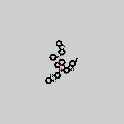 Fc1ccc2c(c1)oc1ccc(N(c3ccccc3)c3ccc4c(c3)Oc3ccccc3O4)c(-c3ccc(N(c4ccccc4)c4ccc5sc6ccccc6c5c4)cc3)c12